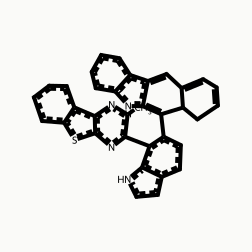 Cc1nc2c(nc1-c1c(C3=c4[nH]c5ccccc5c4=CC4=CC=CCC43)ccc3cc[nH]c13)sc1ccccc12